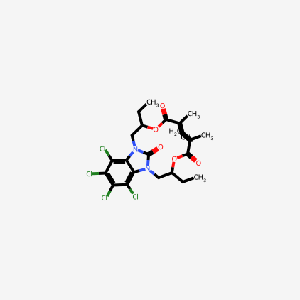 C=C(C)C(=O)OC(CC)Cn1c(=O)n(CC(CC)OC(=O)C(=C)C)c2c(Cl)c(Cl)c(Cl)c(Cl)c21